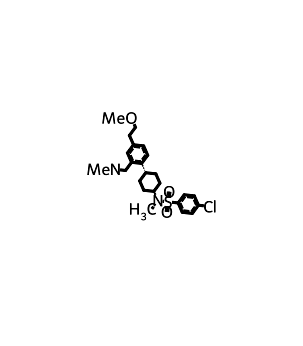 CNCc1cc(CCOC)ccc1[C@H]1CC[C@H](N(C)S(=O)(=O)c2ccc(Cl)cc2)CC1